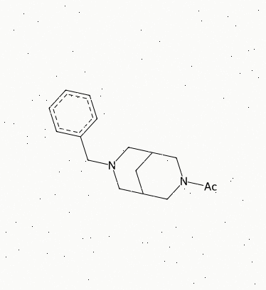 CC(=O)N1CC2CC(CN(Cc3ccccc3)C2)C1